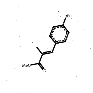 COC(=O)/C(C)=C/c1ccc(C(C)(C)C)cc1